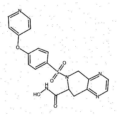 O=C(NO)C1Cc2nccnc2CN1S(=O)(=O)c1ccc(Oc2ccncc2)cc1